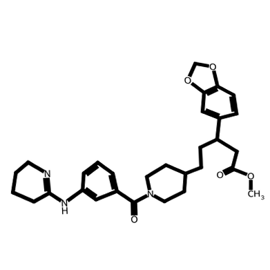 COC(=O)CC(CCC1CCN(C(=O)c2cccc(NC3=NCCCC3)c2)CC1)c1ccc2c(c1)OCO2